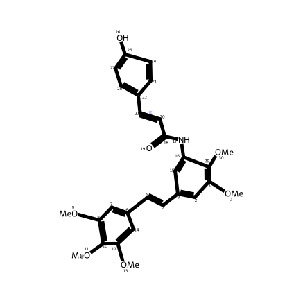 COc1cc(C=Cc2cc(OC)c(OC)c(OC)c2)cc(NC(=O)/C=C/c2ccc(O)cc2)c1OC